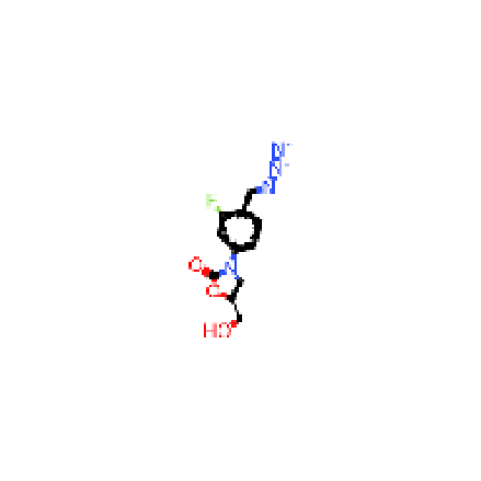 [N-]=[N+]=NCc1ccc(N2C[C@@H](CO)OC2=O)cc1F